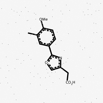 COc1ccc(-c2nc(CC(=O)O)co2)cc1C